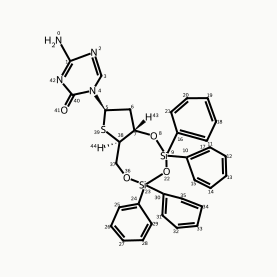 Nc1ncn([C@H]2C[C@@H]3O[Si](c4ccccc4)(c4ccccc4)O[Si](c4ccccc4)(c4ccccc4)OC[C@H]3S2)c(=O)n1